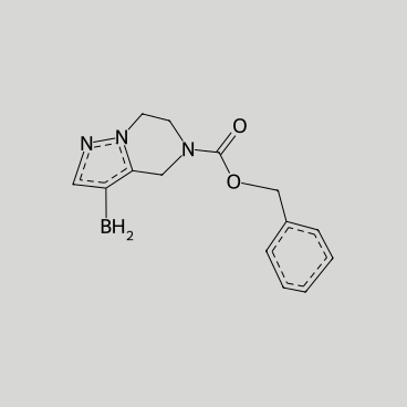 Bc1cnn2c1CN(C(=O)OCc1ccccc1)CC2